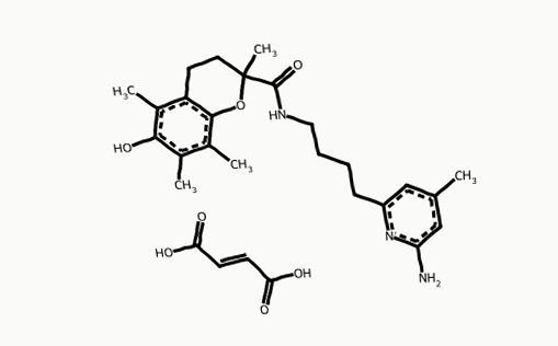 Cc1cc(N)nc(CCCCNC(=O)C2(C)CCc3c(C)c(O)c(C)c(C)c3O2)c1.O=C(O)C=CC(=O)O